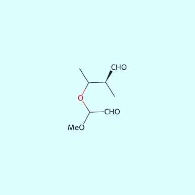 COC(C=O)OC(C)[C@H](C)C=O